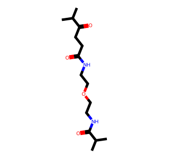 CC(C)C(=O)CCC(=O)NCCOCCNC(=O)C(C)C